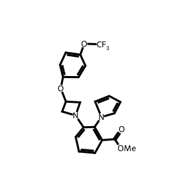 COC(=O)c1cccc(N2CC(Oc3ccc(OC(F)(F)F)cc3)C2)c1-n1cccc1